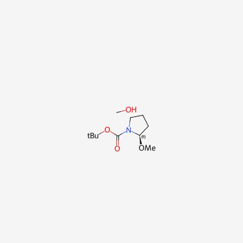 CO.CO[C@@H]1CCCN1C(=O)OC(C)(C)C